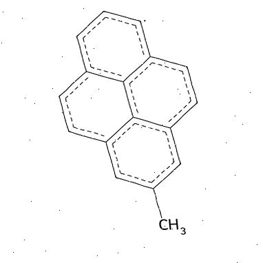 Cc1cc2ccc3[c]ccc4ccc(c1)c2c34